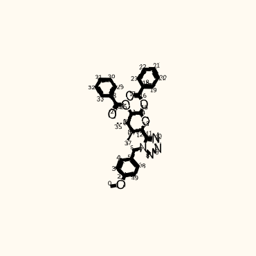 COc1ccc(Cn2nnnc2C2OC(OC(=O)c3ccccc3)C(OC(=O)c3ccccc3)[C@@H](C)[C@@H]2C)cc1